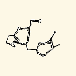 Cc1ccc(Cc2cc(C=O)nc3c2OCC3)cc1F